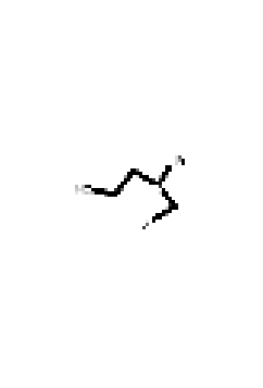 CCCN(CCO)CC(F)(F)F